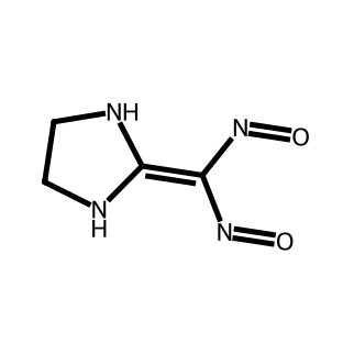 O=NC(N=O)=C1NCCN1